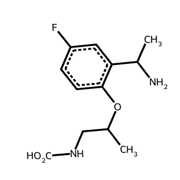 CC(CNC(=O)O)Oc1ccc(F)cc1C(C)N